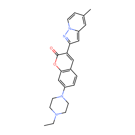 CCN1CCN(c2ccc3cc(-c4cc5cc(C)ccn5n4)c(=O)oc3c2)CC1